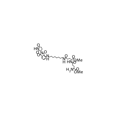 COC(=O)[C@H](CCC(=O)NCCCCCCCCNc1cccc2c1C(=O)N(C1CCC(=O)NC1=O)C2=O)NC(=O)CC[C@H](N)C(=O)OC